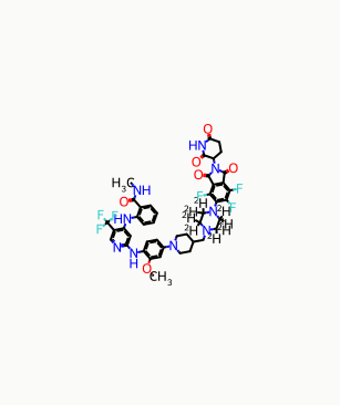 [2H]C1([2H])N(CC2CCN(c3ccc(Nc4cc(Nc5ccccc5C(=O)NC)c(C(F)(F)F)cn4)c(OC)c3)CC2)C([2H])([2H])C([2H])([2H])N(c2c(F)c(F)c3c(c2F)C(=O)N(C2CCC(=O)NC2=O)C3=O)C1([2H])[2H]